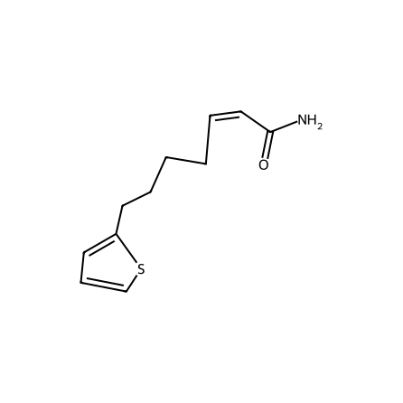 NC(=O)/C=C\CCCCc1cccs1